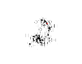 C[C@H](NC(=O)[C@@H](N)CCC(N)=O)C(=O)N(C(=O)OCc1ccccc1)[C@@H](CCCCN)C(=O)N[C@@H](CO)C(=O)N[C@@H](CCC(N)=O)C(=O)NCC(=O)NCC(=O)N[C@@H](CO)C(=O)N[C@@H](CC(N)=O)C(=O)N[C@@H](Cc1ccccc1)C(=O)NC(=O)OCc1ccccc1